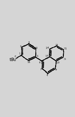 CC(C)(C)c1cc[c]c(-c2cccc3ccccc23)c1